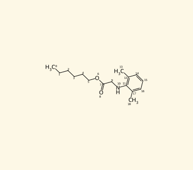 CCCCCCOC(=O)CNc1c(C)cccc1C